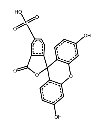 O=C1OC2(c3ccc(O)cc3Oc3cc(O)ccc32)c2ccc(S(=O)(=O)O)cc21